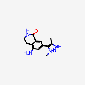 CC1=C(c2cc(N)c3c(c2)C(=O)NCC3)N(C)NN1